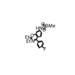 CCC1(CC)N=C(c2ccc(F)cc2)c2ccc(NS(=O)(=O)OC)cc2O1